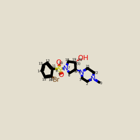 CN1CCN([C@H]2CN(S(=O)(=O)c3ccccc3Br)C[C@@H]2O)CC1